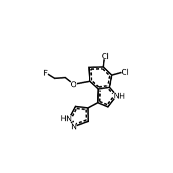 FCCOc1cc(Cl)c(Cl)c2[nH]cc(-c3cn[nH]c3)c12